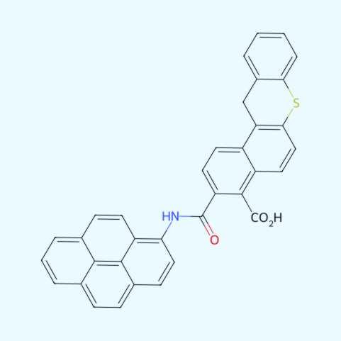 O=C(Nc1ccc2ccc3cccc4ccc1c2c34)c1ccc2c3c(ccc2c1C(=O)O)Sc1ccccc1C3